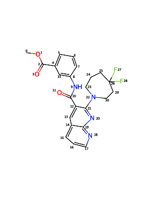 COC(=O)c1cccc(NC(=O)c2cc3cccnc3nc2N2CCCC(F)(F)CC2)c1